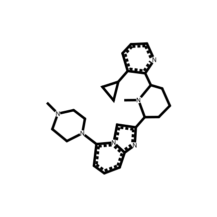 CN1CCN(c2cccc3nc(C4CCCC(c5ncccc5C5CC5)N4C)cn23)CC1